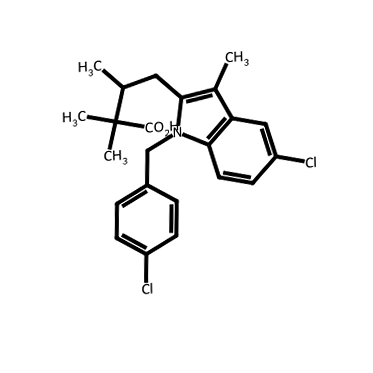 Cc1c(CC(C)C(C)(C)C(=O)O)n(Cc2ccc(Cl)cc2)c2ccc(Cl)cc12